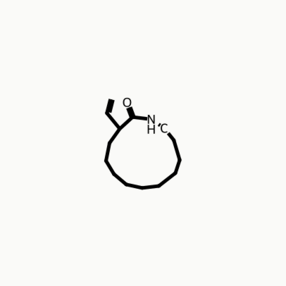 C=CC1CCCCCCCCCCNC1=O